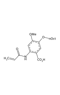 C=CC(=O)Nc1cc(OC)c(OCCCCCCCC)cc1C(=O)O